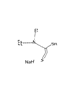 CCN(CC)C(=S)S.[NaH]